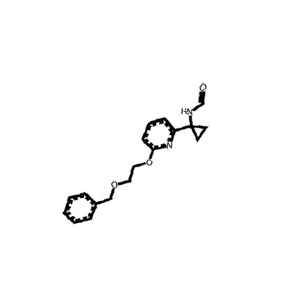 O=CNC1(c2cccc(OCCOCc3ccccc3)n2)CC1